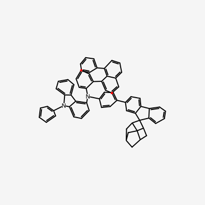 c1ccc(-c2cccc3cccc(-c4ccccc4N(c4ccc(-c5ccc6c(c5)C5(c7ccccc7-6)C6CC7CC8CC5C86C7)cc4)c4cccc5c4c4ccccc4n5-c4ccccc4)c23)cc1